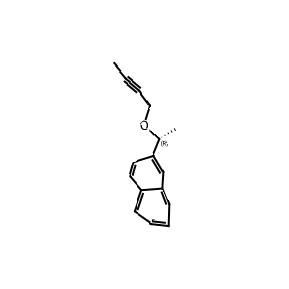 CC#CCO[C@H](C)c1ccc2ccccc2c1